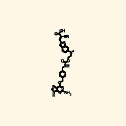 CN(CCOC(=O)NCc1ccc(COc2nc(N)nc3[nH]cnc23)cc1)c1ccc2cc(/C=C(\C#N)C(=O)O)sc2c1